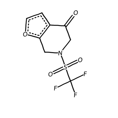 O=C1CN(S(=O)(=O)C(F)(F)F)Cc2occc21